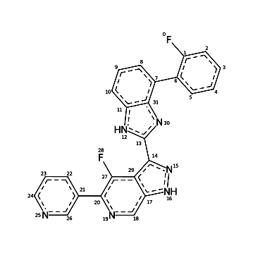 Fc1ccccc1-c1cccc2[nH]c(-c3n[nH]c4cnc(-c5cccnc5)c(F)c34)nc12